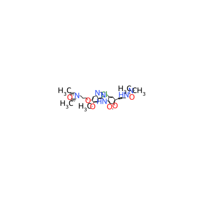 COc1cc2c(Nc3c(Cl)cc(C#CCNC(=O)N(C)C)c4c3OCO4)ncnc2cc1OCCCN1C[C@@H](C)O[C@@H](C)C1